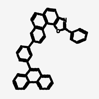 c1ccc(-c2nc3ccc4ccc5cc(-c6cccc(-c7cc8ccccc8c8ccccc78)c6)ccc5c4c3o2)cc1